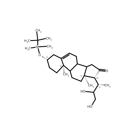 C[C@H](C(O)CO)[C@H]1C(=O)CC2C3CC=C4C[C@@H](O[Si](C)(C)C(C)(C)C)CC[C@]4(C)C3CC[C@@]21C